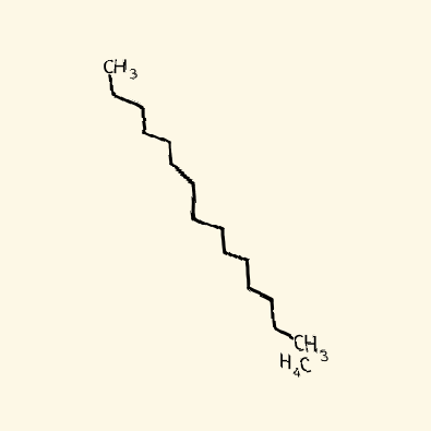 C.CCCCCCCCCCCCCCC